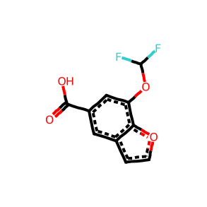 O=C(O)c1cc(OC(F)F)c2occc2c1